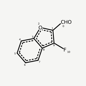 O=Cc1oc2ccccc2c1F